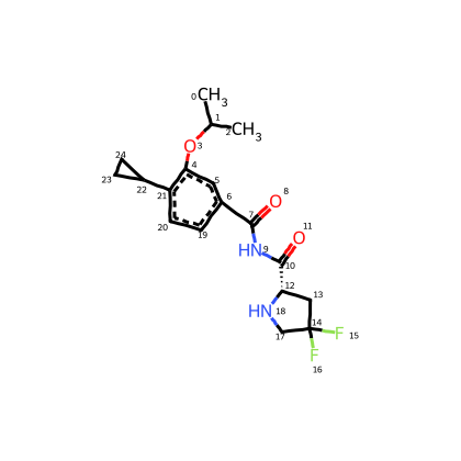 CC(C)Oc1cc(C(=O)NC(=O)[C@@H]2CC(F)(F)CN2)ccc1C1CC1